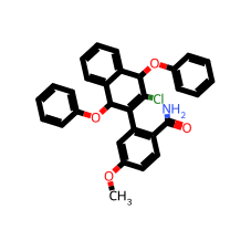 COc1ccc(C(N)=O)c(C2=C(Cl)C(Oc3ccccc3)c3ccccc3C2Oc2ccccc2)c1